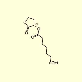 CCCCCCCCCCCCCC(=O)O[C@H]1CCOC1=O